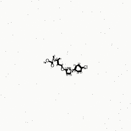 COC(=O)N(C)/C(C)=C/COc1ccn(-c2ccc(Cl)cc2)n1